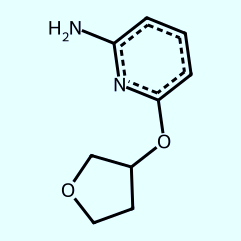 Nc1cccc(OC2CCOC2)n1